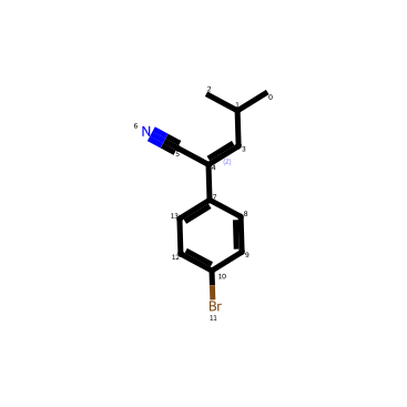 CC(C)/C=C(\C#N)c1ccc(Br)cc1